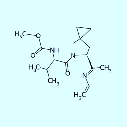 C=C/N=C(\C)[C@@H]1CC2(CC2)CN1C(=O)C(NC(=O)OC)C(C)C